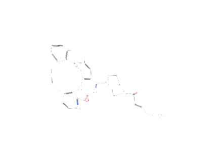 COC/C=C/C(=O)N1CC2C1CCN2c1nc(=O)n2c3nc(c(F)cc13)-c1c(F)cccc1OCCCc1ccnc(C(C)C)c1-2